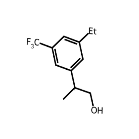 CCc1cc([C](C)CO)cc(C(F)(F)F)c1